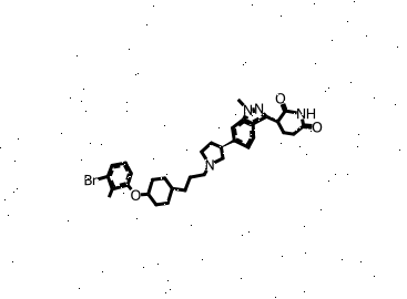 Cc1c(Br)cccc1OC1CCC(CCCN2CC[C@@H](c3ccc4c(C5CCC(=O)NC5=O)nn(C)c4c3)C2)CC1